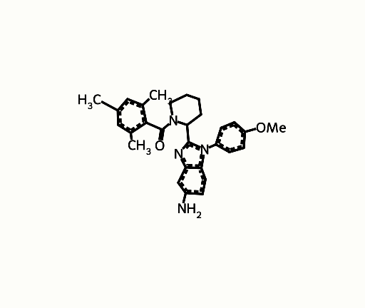 COc1ccc(-n2c(C3CCCCN3C(=O)c3c(C)cc(C)cc3C)nc3cc(N)ccc32)cc1